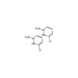 NN1C=CC=C(Cl)N1.NN1C=CC=C(Cl)N1